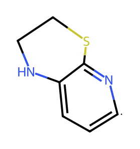 [c]1ccc2c(n1)SCCN2